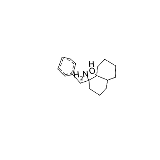 NC1(Cc2ccccc2)CCCC2CCCCC21O